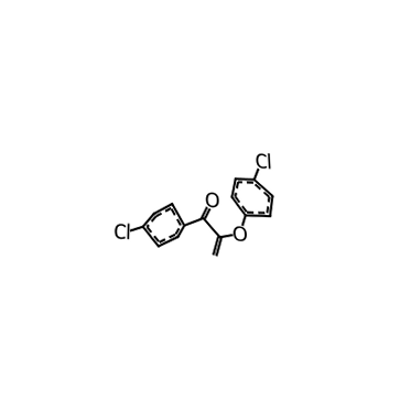 C=C(Oc1ccc(Cl)cc1)C(=O)c1ccc(Cl)cc1